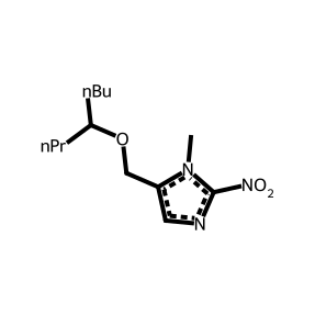 CCCCC(CCC)OCc1cnc([N+](=O)[O-])n1C